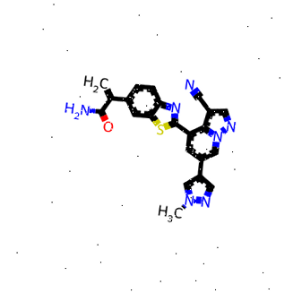 C=C(C(N)=O)c1ccc2nc(-c3cc(-c4cnn(C)c4)cn4ncc(C#N)c34)sc2c1